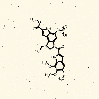 COC(=O)c1cc2c3c(cc(O[PH](=O)O)c2[nH]1)N(C(=O)c1cc2cc(OC)c(OC)c(OC)c2[nH]1)C[C@H]3CCl